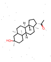 CC(=O)[C@H]1CC[C@H]2[C@@H]3CC[C@]4(C)C[C@](C)(O)CC[C@]4(C)[C@H]3CC[C@]12C